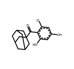 O=C(c1c(O)cc(O)cc1Cl)C12CC3CC(CC(C3)C1)C2